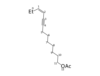 CC/C=C\C#CCCCCCCCOC(C)=O